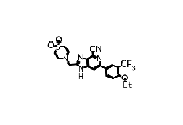 CCOc1ccc(-c2cc3[nH]c(CN4CCS(=O)(=O)CC4)nc3c(C#N)n2)cc1C(F)(F)F